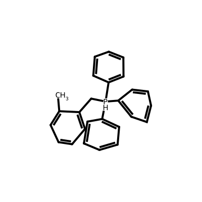 Cc1ccccc1C[PH](c1ccccc1)(c1ccccc1)c1ccccc1